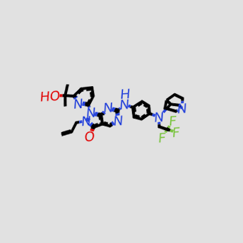 C=CCn1c(=O)c2cnc(Nc3ccc(N(CC(F)(F)F)C4CN5CCC4CC5)cc3)nc2n1-c1cccc(C(C)(C)O)n1